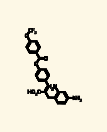 Nc1ccc(CC(=Cc2ccc(OC(=O)c3ccc(OC(F)(F)F)cc3)cc2)C(=O)O)c(N)c1